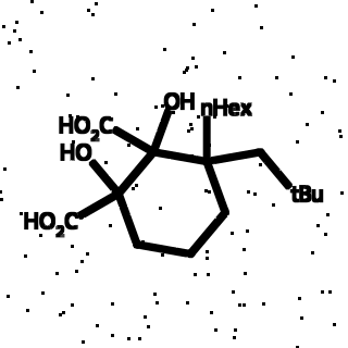 CCCCCCC1(CC(C)(C)C)CCCC(O)(C(=O)O)C1(O)C(=O)O